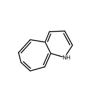 C1=CC=C2NC=CC=C2C=C1